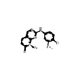 Cc1cc(Nc2ncc3ccc(=O)n(C(C)C)c3n2)ccc1Cl